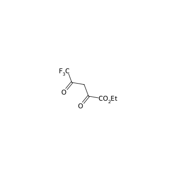 CCOC(=O)C(=O)CC(=O)C(F)(F)F